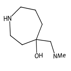 CNCC1(O)CCCNCC1